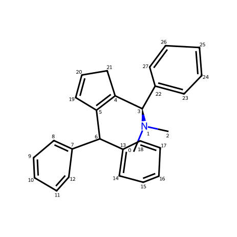 CN(C)[C@@H](C1=C(C(c2ccccc2)c2ccccc2)C=CC1)c1ccccc1